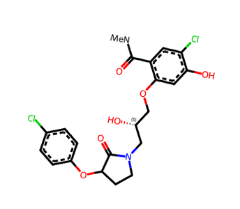 CNC(=O)c1cc(Cl)c(O)cc1OC[C@@H](O)CN1CCC(Oc2ccc(Cl)cc2)C1=O